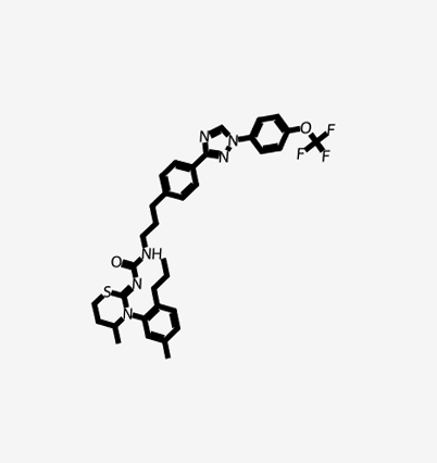 CCCc1ccc(C)cc1N1/C(=N/C(=O)NCCCc2ccc(-c3ncn(-c4ccc(OC(F)(F)F)cc4)n3)cc2)SCCC1C